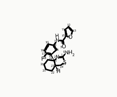 NC1=N[C@@]2(c3cc(NC(=O)c4ccco4)ccc3F)CCCC[C@H]2CS1